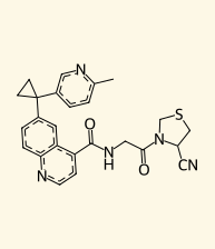 Cc1ccc(C2(c3ccc4nccc(C(=O)NCC(=O)N5CSCC5C#N)c4c3)CC2)cn1